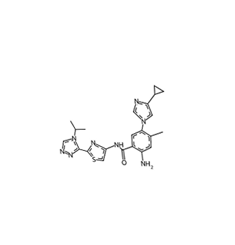 Cc1cc(N)c(C(=O)Nc2csc(-c3nncn3C(C)C)n2)cc1-n1cnc(C2CC2)c1